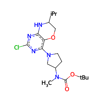 CC(C)C1COc2c(nc(Cl)nc2N2CCC(N(C)C(=O)OC(C)(C)C)C2)N1